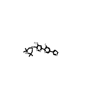 CC1(C)CC(Nc2nnc(-c3ncc(C4=CCN=C4)cc3F)cc2N)CC(C)(C)N1